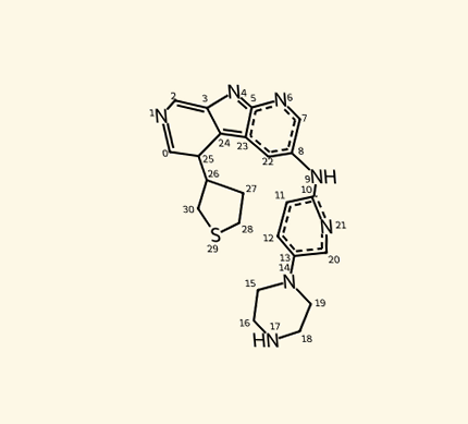 C1=NC=C2N=c3ncc(Nc4ccc(N5CCNCC5)cn4)cc3=C2C1C1CCSC1